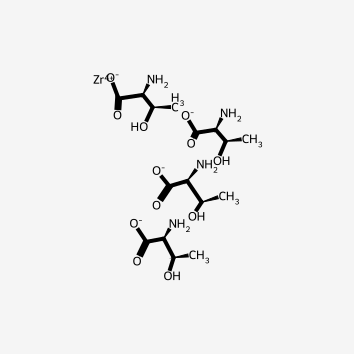 C[C@@H](O)[C@H](N)C(=O)[O-].C[C@@H](O)[C@H](N)C(=O)[O-].C[C@@H](O)[C@H](N)C(=O)[O-].C[C@@H](O)[C@H](N)C(=O)[O-].[Zr+4]